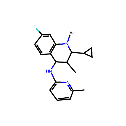 CC(=O)N1c2cc(F)ccc2C(Nc2cccc(C)n2)C(C)C1C1CC1